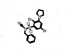 N#CN(Cc1ccccc1)S(=O)(=O)c1cc(Br)cc(N2CCCC2)c1Br